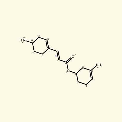 NC1=CCCC(OC(=O)/C=C/C2=CCC(N)CC2)C1